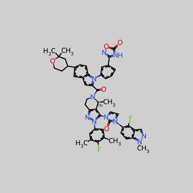 Cc1cc(-n2nc3c(c2-n2ccn(-c4ccc5c(cnn5C)c4F)c2=O)[C@H](C)N(C(=O)c2cc4cc(C5CCOC(C)(C)C5)ccc4n2-c2cccc(-c4noc(=O)[nH]4)c2)CC3)cc(C)c1F